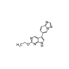 CCOc1ncc2c(-c3ccc4ncnn4c3)c[nH]c2n1